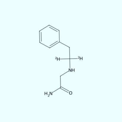 [2H]C([2H])(Cc1ccccc1)NCC(N)=O